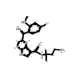 CNc1cc(F)ccc1C(=N)c1cnc2[nH]cc(C(=O)NC(C)(C)CCN)c2n1